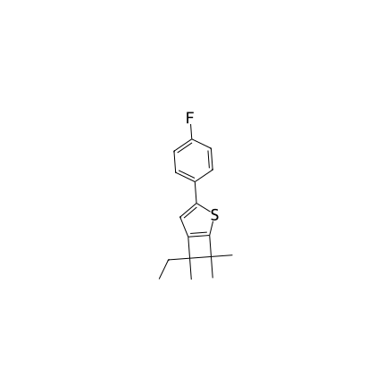 CCC1(C)c2cc(-c3ccc(F)cc3)sc2C1(C)C